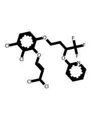 FC(F)(F)C(CCOc1ccc(Cl)c(Cl)c1OC=CC(Cl)Cl)Oc1ccccn1